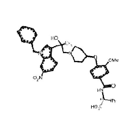 COc1cc(C(=O)N[C@@H](C(=O)O)C(C)C)ccc1OC1CCN(CC(O)(c2cn(Cc3ccccc3)c3cc([N+](=O)[O-])ccc23)C(F)(F)F)CC1